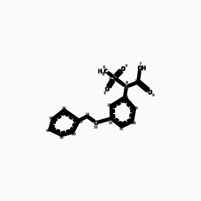 CS(=O)(=O)N(C(=O)O)c1cccc(OCc2ccccc2)c1